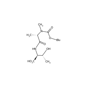 C[C@@H](O)[C@H](NC(=O)[C@H](C)N(C)C(=O)OC(C)(C)C)C(=O)O